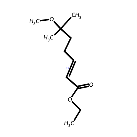 CCOC(=O)/C=C/CCC(C)(C)OC